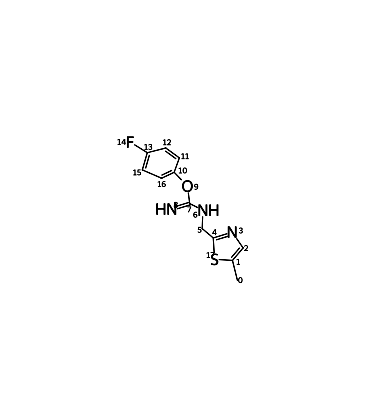 Cc1cnc(CNC(=N)Oc2ccc(F)cc2)s1